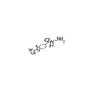 NCCNC(=O)C1CCc2nc(-c3cnccn3)sc2C1